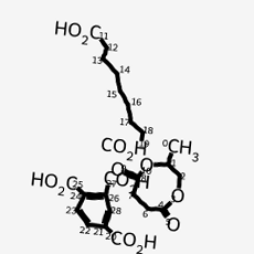 CC1COC(=O)CCC(=O)O1.O=C(O)CCCCCCCC(=O)O.O=C(O)c1ccc(C(=O)O)c(C(=O)O)c1